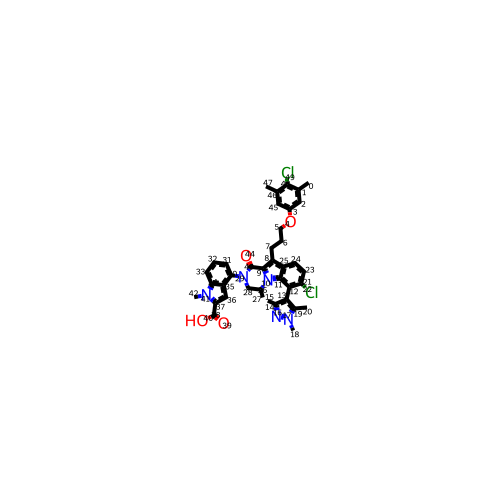 Cc1cc(OCCCc2c3n(c4c(-c5c(C)nn(C)c5C)c(Cl)ccc24)C(C)CN(c2cccc4c2cc(C(=O)O)n4C)C3=O)cc(C)c1Cl